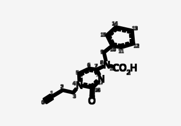 C#CCCn1ccc(N(Cc2ccccc2)C(=O)O)nc1=O